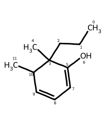 CCCC1(C)C(O)=CC=CC1C